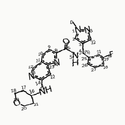 Cn1cc([C@@H](NC(=O)c2ccc3cnc(NC4CCOCC4)cc3n2)c2cccc(F)c2)cn1